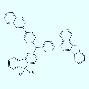 CC1(C)c2ccccc2-c2cc(N(c3ccc(-c4ccc5ccccc5c4)cc3)c3ccc(-c4cc5c6ccccc6sc5c5ccccc45)cc3)ccc21